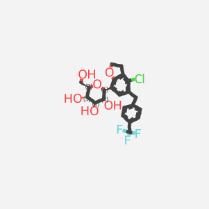 OC[C@H]1O[C@@H](c2cc(Cc3ccc(C(F)(F)F)cc3)c(Cl)c3c2OCC3)[C@H](O)[C@@H](O)[C@@H]1O